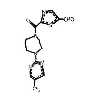 O=Cc1cnc(C(=O)N2CCN(c3ncc(C(F)(F)F)cn3)CC2)s1